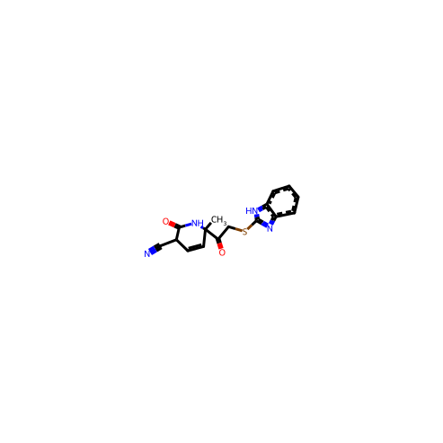 CC1(C(=O)CSc2nc3ccccc3[nH]2)C=CC(C#N)C(=O)N1